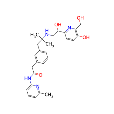 Cc1cccc(NC(=O)Cc2cccc(CC(C)(C)NCC(O)c3ccc(O)c(CO)n3)c2)n1